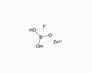 [F-].[O-]B(O)O.[Zn+2]